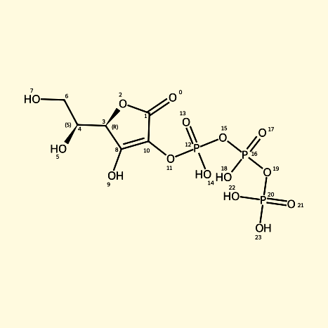 O=C1O[C@H]([C@@H](O)CO)C(O)=C1OP(=O)(O)OP(=O)(O)OP(=O)(O)O